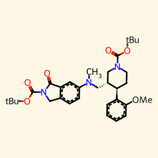 COc1ccccc1[C@@H]1CCN(C(=O)OC(C)(C)C)C[C@H]1CN(C)c1ccc2c(c1)C(=O)N(C(=O)OC(C)(C)C)C2